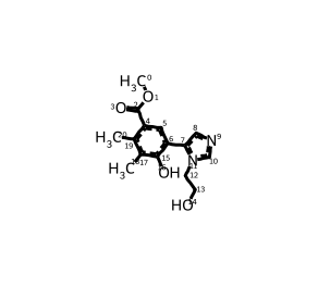 COC(=O)c1cc(-c2cncn2CCO)c(O)c(C)c1C